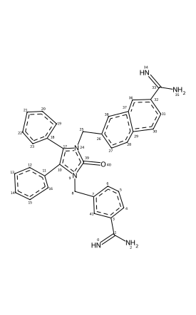 N=C(N)c1cccc(Cn2c(-c3ccccc3)c(-c3ccccc3)n(Cc3ccc4ccc(C(=N)N)cc4c3)c2=O)c1